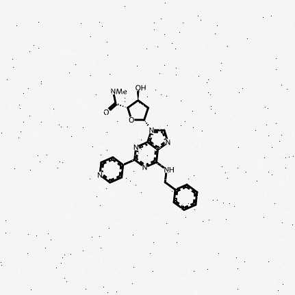 CNC(=O)[C@H]1O[C@@H](n2cnc3c(NCc4ccccc4)nc(-c4ccncc4)nc32)C[C@@H]1O